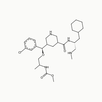 CNC[C@@H](CC1CCCCC1)NC(=O)C1CNCC([C@@H](OCC(C)NC(=O)OC)c2cccc(Cl)c2)C1